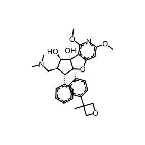 COc1cc2c(c(OC)n1)[C@]1(O)[C@H](O)[C@H](CN(C)C)[C@@H](c3ccccc3)[C@]1(c1ccc(C3(C)COC3)cc1)O2